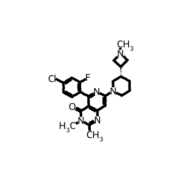 Cc1nc2cc(N3CCC[C@@H](C4CN(C)C4)C3)nc(-c3ccc(Cl)cc3F)c2c(=O)n1C